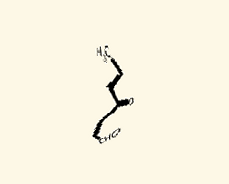 CC=CC(=O)CC=O